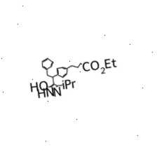 CCOC(=O)CCCc1ccc(C(Cc2ccccc2)c2c(C(C)C)n[nH]c2O)cc1